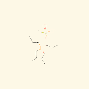 CCC[P+](CCC)(CCC)CCC.CS(=O)(=O)[O-]